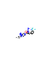 CCCc1nnc2n1CCN(C(=O)C[C@H](N)Cc1ccc(F)c(F)c1)C2